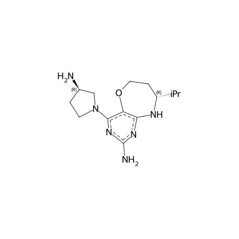 CC(C)[C@H]1CCOc2c(nc(N)nc2N2CC[C@@H](N)C2)N1